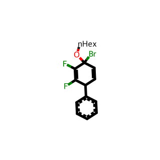 CCCCCCOC1(Br)C=CC(c2ccccc2)C(F)=C1F